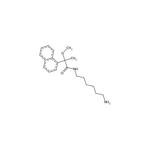 COC(C)(C(=O)NCCCCCCN)c1cccc2ccccc12